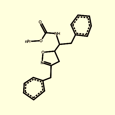 CCCOC(=O)NC(Cc1ccccc1)C1CC(Cc2ccccc2)=NO1